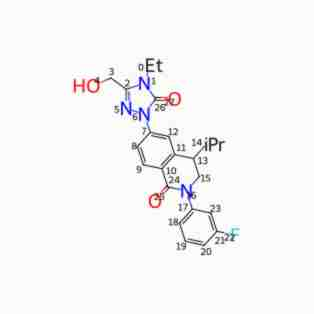 CCn1c(CO)nn(-c2ccc3c(c2)C(C(C)C)CN(c2cccc(F)c2)C3=O)c1=O